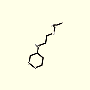 IPOCCN[C@H]1CCSSC1